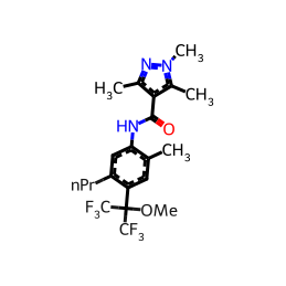 CCCc1cc(NC(=O)c2c(C)nn(C)c2C)c(C)cc1C(OC)(C(F)(F)F)C(F)(F)F